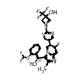 Cc1nc2cc(F)c(-c3cnc(N4CC(O)(C(F)(F)F)C4)nc3)cn2c1[C@@H](O)c1ccccc1OC(F)F